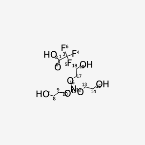 O=C(O)C(F)(F)F.OCCON(OCCO)OCCO